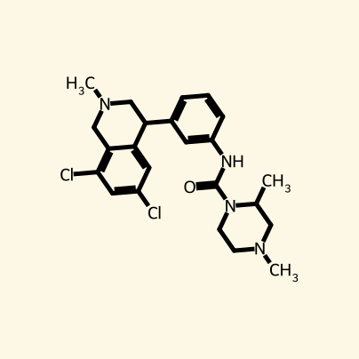 CC1CN(C)CCN1C(=O)Nc1cccc(C2CN(C)Cc3c(Cl)cc(Cl)cc32)c1